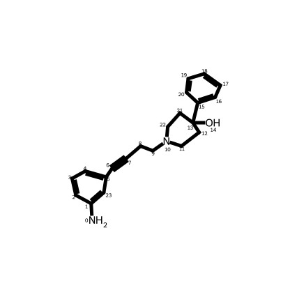 Nc1cccc(C#CCCN2CCC(O)(c3ccccc3)CC2)c1